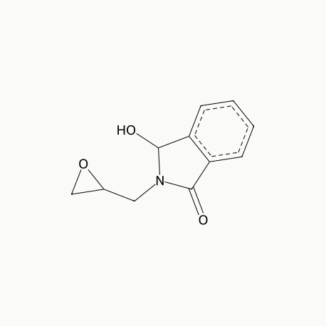 O=C1c2ccccc2C(O)N1CC1CO1